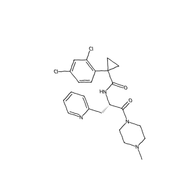 CN1CCN(C(=O)[C@H](Cc2ccccn2)NC(=O)C2(c3ccc(Cl)cc3Cl)CC2)CC1